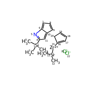 C[Si](C)(C)C1=NC2=CC=CC2=C1.C[Si](C)[Zr+2][C]1=CC=CC1.[Cl-].[Cl-]